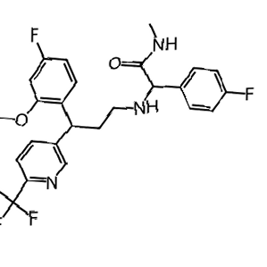 CNC(=O)C(NCCC(c1ccc(C(F)(F)F)nc1)c1ccc(F)cc1OC)c1ccc(F)cc1